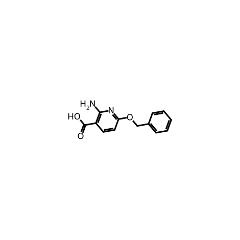 Nc1nc(OCc2ccccc2)ccc1C(=O)O